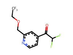 O=C(c1ccnc(COCC(F)(F)F)c1)C(F)F